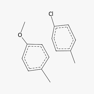 COc1ccc(C)cc1.Cc1ccc(Cl)cc1